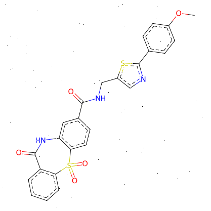 COc1ccc(-c2ncc(CNC(=O)c3ccc4c(c3)NC(=O)c3ccccc3S4(=O)=O)s2)cc1